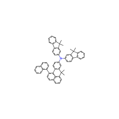 CC1(C)c2ccccc2-c2ccc(N(c3ccc4c(c3)C(C)(C)c3ccccc3-4)c3ccc4c(c3)C(C)(C)c3cccc5ccc(-c6cccc7ccccc67)c-4c35)cc21